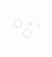 CCC(O)Nc1ccccc1-c1ccccc1